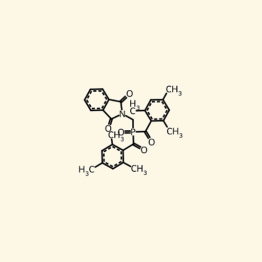 Cc1cc(C)c(C(=O)P(=O)(CN2C(=O)c3ccccc3C2=O)C(=O)c2c(C)cc(C)cc2C)c(C)c1